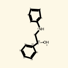 O[C@@H](CNc1c[c]ccc1)c1ccccc1